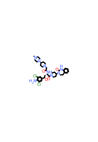 CN1CCN(C2CCN(CC(=O)N[C@@H](CC(=O)c3cc(Cl)c(N)c(Cl)c3)C(=O)N3CCC(N4CCc5ccccc5NC4=O)CC3)CC2)CC1